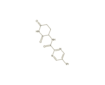 CC(C)c1cnc(C(=O)NC2CCC(=O)NC2=O)nc1